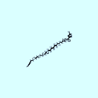 CC#CCCOCCOCCOCCOCCCCCCCCCCCCNC(=O)c1csc(C)c1